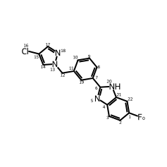 Fc1ccc2nc(-c3cccc(Cn4cc(Cl)cn4)c3)[nH]c2c1